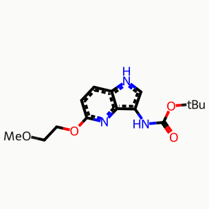 COCCOc1ccc2[nH]cc(NC(=O)OC(C)(C)C)c2n1